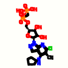 N#Cc1c(Cl)nc2c(cnn2[C@@H]2O[C@H](COP(=O)(O)CP(=O)(O)O)[C@@H](O)[C@H]2O)c1NC1CCCC1